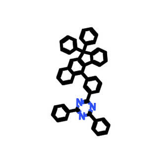 c1ccc(-c2nc(-c3ccccc3)nc(-c3cccc(-c4c5c(cc6ccccc46)C(c4ccccc4)(c4ccccc4)c4ccccc4-5)c3)n2)cc1